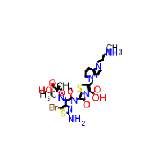 CNCCCn1ccc2c1ccc[n+]2CC1=C(C(=O)O)N2C(=O)C(NC(=O)/C(=N\OC(C)(C)C(=O)O)c3nc(N)sc3Br)C2SC1